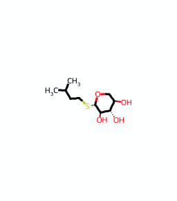 CC(C)CCS[C@@H]1OC[C@@H](O)[C@H](O)[C@H]1O